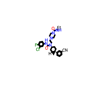 CCNC(=O)N1CCN(CCN(C(=O)Nc2ccc(F)c(Cl)c2)[C@@H]2CC[C@]3(c4cccc(C#N)c4)C[C@@H]3C2)CC1